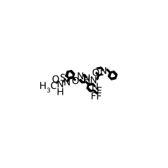 CC(=O)Nc1nc2c(Oc3cc(-c4ccc(C(F)(F)F)nc4NCC4CN(Cc5ccccc5)CCO4)ncn3)cccc2s1